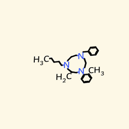 C=C1CN(CCCCC)CCCN(Cc2ccccc2)CCCN(c2ccccc2C)C1